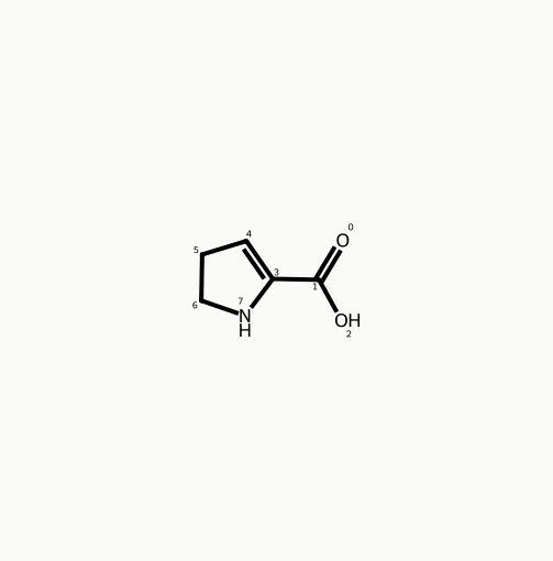 O=C(O)C1=CCCN1